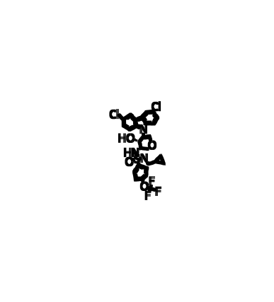 O=S(=NCC1CC1)(N[C@H]1COC=C(n2c3ccc(Cl)cc3c3cc(Cl)ccc32)[C@H]1O)c1ccc(OC(F)(F)F)cc1